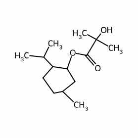 CC1CCC(C(C)C)C(OC(=O)C(C)(C)O)C1